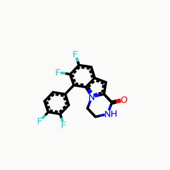 O=C1NCCn2c1cc1cc(F)c(F)c(-c3ccc(F)c(F)c3)c12